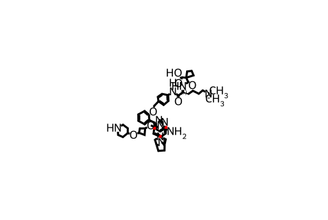 CN(C)CCCC[C@H](NC(=O)C1(C(=O)O)CCC1)C(=O)Nc1ccc(COc2ccccc2-c2cc(N3CC4CCC(C3)N4c3ccnc(OC4CC(OC5CCNCC5)C4)c3)c(N)nn2)cc1